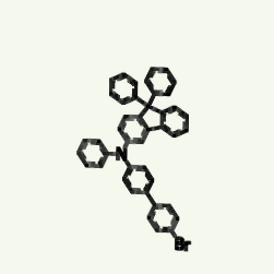 Brc1ccc(-c2ccc(N(c3ccccc3)c3ccc4c(c3)-c3ccccc3C4(c3ccccc3)c3ccccc3)cc2)cc1